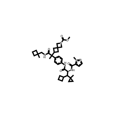 COC(=O)N1CC2(CC(C(C)(C(=O)NCC3(C)CCC3)c3ccc(NC(=O)[C@@H](NC(=O)c4ccnn4C)C(C4CCC4)C4(C)CC4)cc3)C2)C1